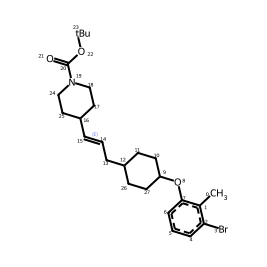 Cc1c(Br)cccc1OC1CCC(C/C=C/C2CCN(C(=O)OC(C)(C)C)CC2)CC1